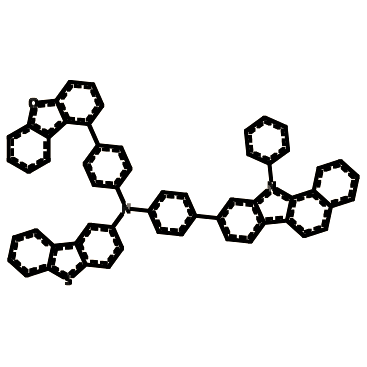 c1ccc(-n2c3cc(-c4ccc(N(c5ccc(-c6cccc7oc8ccccc8c67)cc5)c5ccc6sc7ccccc7c6c5)cc4)ccc3c3ccc4ccccc4c32)cc1